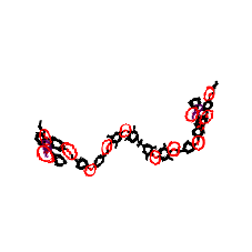 C=CCOc1ccc(OCc2ccc(Oc3ccc(COc4c(C)cc(Oc5c(C)cc(C(C)(C)c6cc(C)c(Oc7cc(C)c(OCc8ccc(Oc9ccc(COc%10ccc(OCC=C)c(P(=O)(c%11ccccc%11)c%11ccccc%11)c%10)cc9)cc8)c(C)c7)c(C)c6)cc5C)cc4C)cc3)cc2)c(P(=O)(c2ccccc2)c2ccccc2)c1